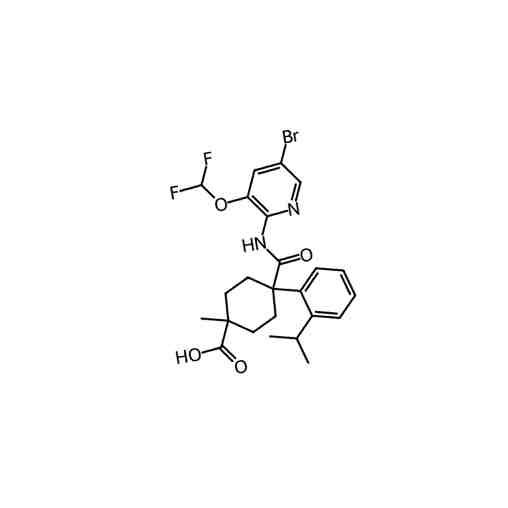 CC(C)c1ccccc1C1(C(=O)Nc2ncc(Br)cc2OC(F)F)CCC(C)(C(=O)O)CC1